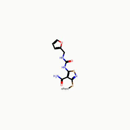 CCCCCSc1nsc(NC(=O)NCc2ccco2)c1C(N)=O